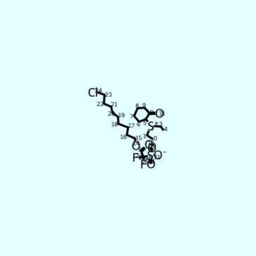 CC[S+](CC)C1CCCCC1=O.O=C(OCCCCCCCCCCl)C(F)(F)S(=O)(=O)[O-]